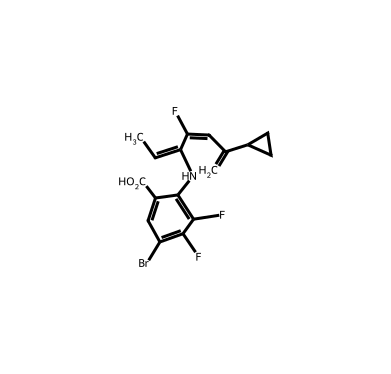 C=C(/C=C(F)\C(=C/C)Nc1c(C(=O)O)cc(Br)c(F)c1F)C1CC1